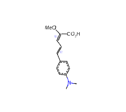 CO/C(=C/C=C/c1ccc(N(C)C)cc1)C(=O)O